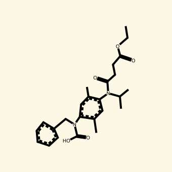 CCOC(=O)CCC(=O)N(c1cc(C)c(N(Cc2ccccc2)C(=O)O)cc1C)C(C)C